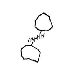 C1CCCCC(NNC2CCCCCCCC2)CCC1